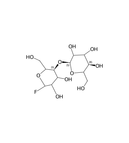 OCC1O[C@@H](O[C@@H]2C(CO)OC(F)C(O)C2O)C(O)C(O)[C@H]1O